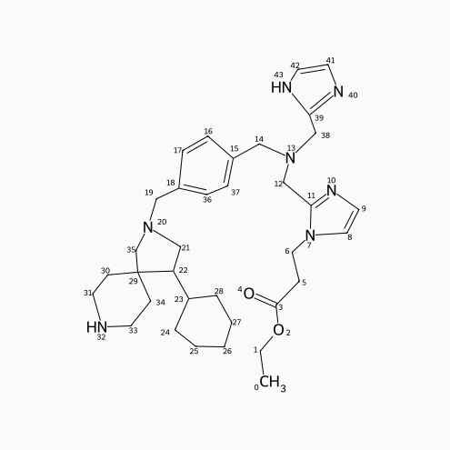 CCOC(=O)CCn1ccnc1CN(Cc1ccc(CN2CC(C3CCCCC3)C3(CCNCC3)C2)cc1)Cc1ncc[nH]1